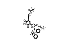 CC(C)(C)SSCOC1C[C@H](n2cc(C#CCNC(=O)C(F)(F)F)c(=O)[nH]c2=O)O[C@@H]1CO[Si](c1ccccc1)(c1ccccc1)C(C)(C)C